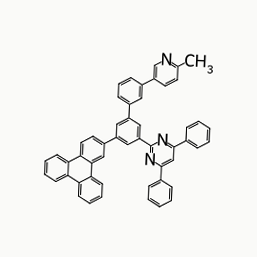 Cc1ccc(-c2cccc(-c3cc(-c4ccc5c6ccccc6c6ccccc6c5c4)cc(-c4nc(-c5ccccc5)cc(-c5ccccc5)n4)c3)c2)cn1